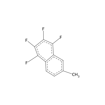 Cc1ccc2c(F)c(F)c(F)c(F)c2c1